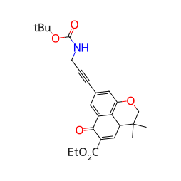 CCOC(=O)C1=CC2c3c(cc(C#CCNC(=O)OC(C)(C)C)cc3C1=O)OCC2(C)C